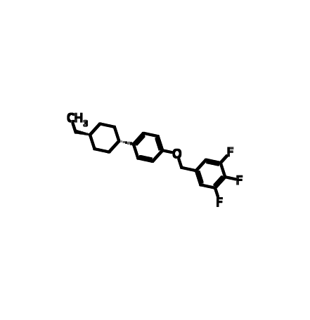 CC[C@H]1CC[C@H](c2ccc(OCc3cc(F)c(F)c(F)c3)cc2)CC1